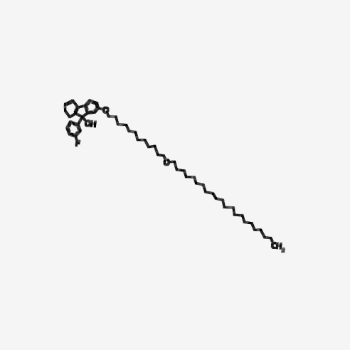 CCCCCCCCCCCCCCCCCCCCCCOCCCCCCCCCCCCOc1ccc2c(c1)C(O)(c1cccc(F)c1)C1=C2C=CCC1